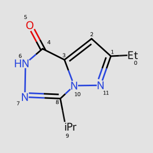 CCc1cc2c(=O)[nH]nc(C(C)C)n2n1